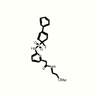 COCCNC(=O)Cc1cccc(NS(=O)(=O)C2(F)C=CC(c3ccccc3)=CC2)n1